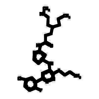 CCCN(CCNC)CCC(=O)Nc1cc(Nc2cc(-c3cc(Cl)ccc3F)nnc2SCCN)ccn1